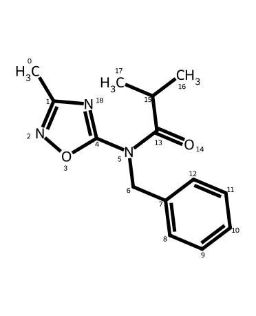 Cc1noc(N(Cc2ccccc2)C(=O)C(C)C)n1